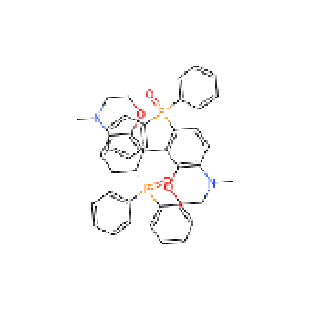 CN1CCOC2=C(c3c(P(=O)(c4ccccc4)c4ccccc4)ccc4c3OCCN4C)[C@H](P(=O)(c3ccccc3)c3ccccc3)CC=C21